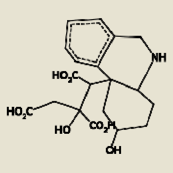 O=C(O)CC(O)(C(=O)O)C(C(=O)O)C12CC(O)CCC1NCc1ccccc12